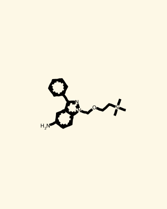 C[Si](C)(C)CCOCn1nc(-c2ccccc2)c2cc(N)ccc21